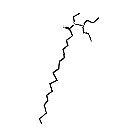 CCCCCCCCCCCCCCCCCC(=O)N(CC)N(CCC)CCC